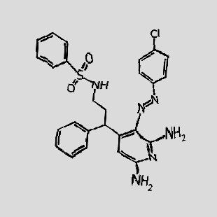 Nc1cc(C(CCNS(=O)(=O)c2ccccc2)c2ccccc2)c(/N=N/c2ccc(Cl)cc2)c(N)n1